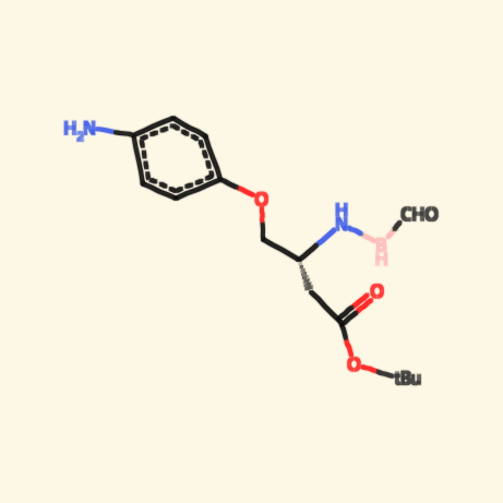 CC(C)(C)OC(=O)C[C@H](COc1ccc(N)cc1)NBC=O